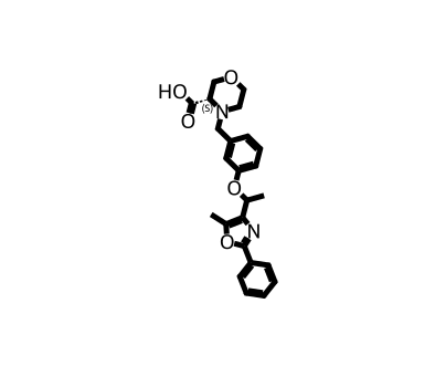 Cc1oc(-c2ccccc2)nc1C(C)Oc1cccc(CN2CCOC[C@H]2C(=O)O)c1